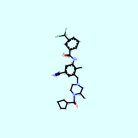 Cc1c(CN2CCN(C(=O)C3CCCC3)C(C)C2)cc(C#N)cc1NC(=O)c1cccc(C(F)F)c1